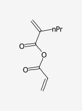 C=CC(=O)OC(=O)C(=C)CCC